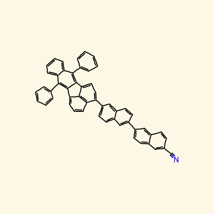 N#Cc1ccc2cc(-c3ccc4cc(-c5ccc6c7c(cccc57)-c5c-6c(-c6ccccc6)c6ccccc6c5-c5ccccc5)ccc4c3)ccc2c1